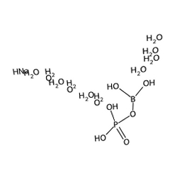 O.O.O.O.O.O.O.O.O.O.O=P(O)(O)OB(O)O.[NaH]